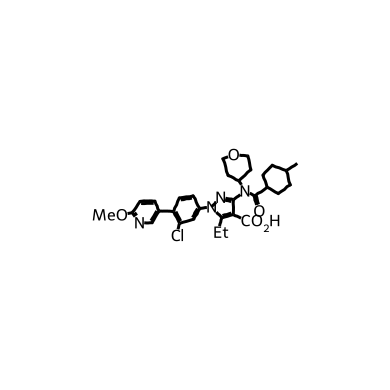 CCc1c(C(=O)O)c(N(C(=O)C2CCC(C)CC2)C2CCOCC2)nn1-c1ccc(-c2ccc(OC)nc2)c(Cl)c1